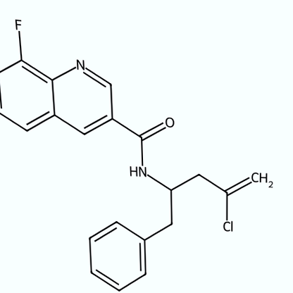 C=C(Cl)CC(Cc1ccccc1)NC(=O)c1cnc2c(F)cccc2c1